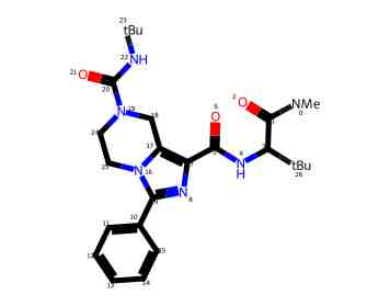 CNC(=O)C(NC(=O)c1nc(-c2ccccc2)n2c1CN(C(=O)NC(C)(C)C)CC2)C(C)(C)C